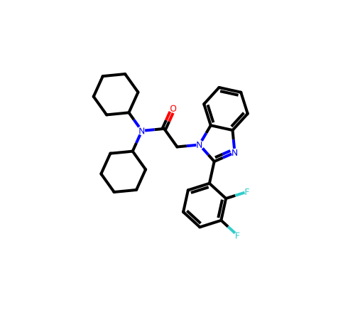 O=C(Cn1c(-c2cccc(F)c2F)nc2ccccc21)N(C1CCCCC1)C1CCCCC1